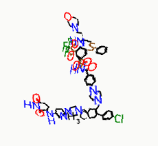 C[C@@]1(CN2CCN(c3ccc(NC4CCC(=O)NC4=O)cn3)CC2)CCC(c2ccc(Cl)cc2)=C(CN2CCN(c3ccc(C(=O)NS(=O)(=O)c4ccc(N[C@H](CCN5CCCOCC5)CSc5ccccc5)c(S(=O)(=O)C(F)(F)F)c4)cc3)CC2)C1